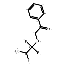 CC(F)C(F)(F)OCC(=O)c1ccccc1